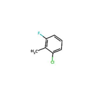 [CH2]c1c(F)cccc1Cl